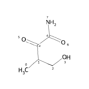 CC(CO)C(=O)C(N)=O